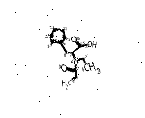 C=CC(=O)N(CC)[C@@H](Cc1ccccc1)C(=O)O